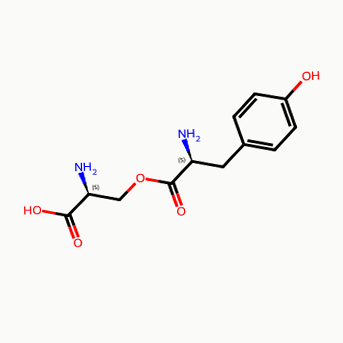 N[C@@H](COC(=O)[C@@H](N)Cc1ccc(O)cc1)C(=O)O